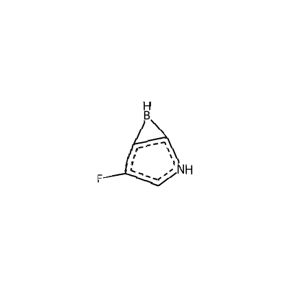 Fc1c[nH]c2c1B2